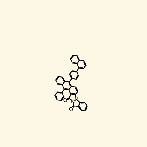 O=c1c2ccccc2n2c3ccc4c(-c5ccc(-c6cccc7ccccc67)cc5)c5ccccc5c(-c5ccccc5)c4c3c(=O)n12